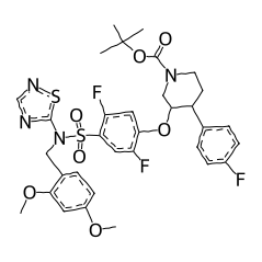 COc1ccc(CN(c2ncns2)S(=O)(=O)c2cc(F)c(OC3CN(C(=O)OC(C)(C)C)CCC3c3ccc(F)cc3)cc2F)c(OC)c1